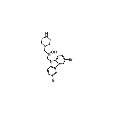 O[C@H](CN1CCNCC1)Cn1c2ccc(Br)cc2c2cc(Br)ccc21